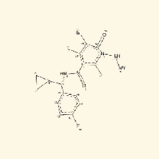 CCCNn1c(C)c(C(=O)N[C@H](c2ccc(F)cc2)C2CC2)c(C)c(Br)c1=O